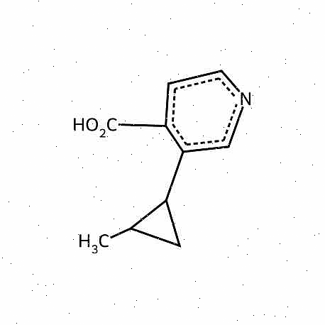 CC1CC1c1cnccc1C(=O)O